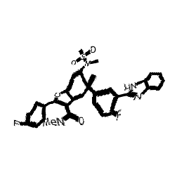 CNC(=O)c1c(-c2ccc(F)cc2)oc2c1=CC(C)(c1ccc(F)c(-c3nc4ccccc4[nH]3)c1)C(N(C)S(C)(=O)=O)C=2